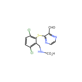 O=Cc1nccnc1Sc1c(Cl)ccc(Cl)c1CNC(=O)O